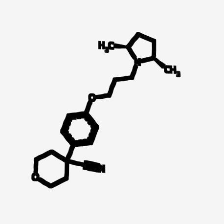 C[C@@H]1CC[C@H](C)N1CCCOc1ccc(C2(C#N)CCOCC2)cc1